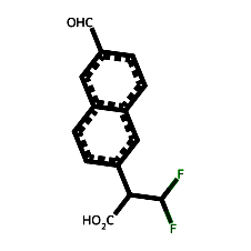 O=Cc1ccc2cc(C(C(=O)O)C(F)F)ccc2c1